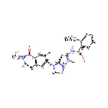 COc1ccccc1C(=O)Nc1cc2n(n1)CCN2c1ccc2c(c1)CCN(C)C2=O